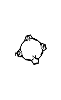 C1=CC2=NC1=Cc1ccc([nH]1)CC1=NC(=CC3=NC(=C2)C=C3)C=C1